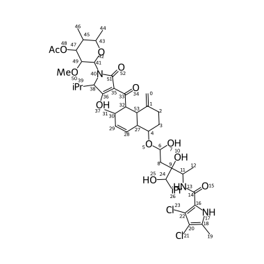 C=C1CCC(OC(O)CC(O)(C(C)NC(=O)c2[nH]c(C)c(Cl)c2Cl)C(O)C(C)C)C2C=CC(C)C(C(=O)C3=C(O)C(C(C)C)N(C4OC(C)C(C)C(OC(C)=O)C4OC)C3=O)C12